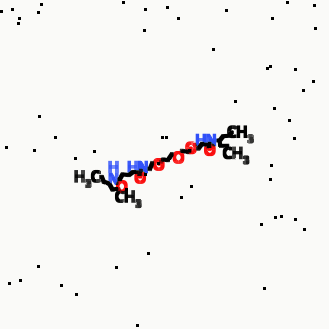 CCCC(CCC)NC(=O)CCCC(=O)NCCOCCCOCCOCCC(=O)NC(CCC)CCC